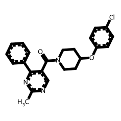 Cc1ncc(C(=O)N2CCC(Oc3ccc(Cl)cc3)CC2)c(-c2ccccc2)n1